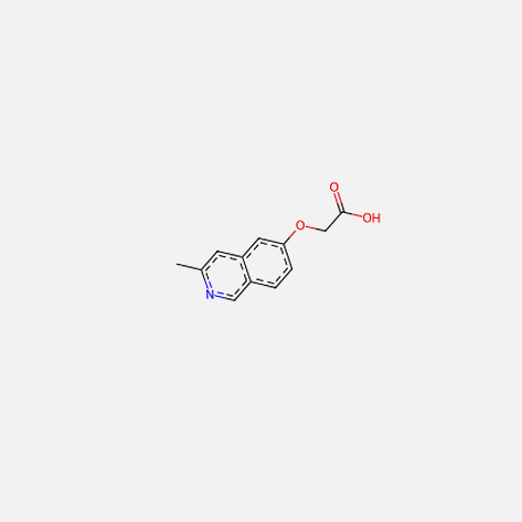 Cc1cc2cc(OCC(=O)O)ccc2cn1